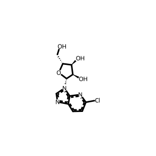 OC[C@H]1O[C@@H](n2cnc3ccc(Cl)nc32)[C@H](O)[C@@H]1O